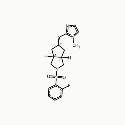 Cn1ccnc1S[C@H]1C[C@@H]2CN(S(=O)(=O)c3ccccc3F)C[C@@H]2C1